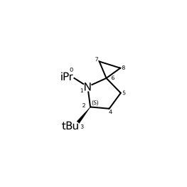 CC(C)N1[C@H](C(C)(C)C)CCC12CC2